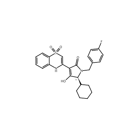 O=C1C(C2=CS(=O)(=O)c3ccccc3N2)=C(O)[C@H](C2CCCCC2)N1Cc1ccc(F)cc1